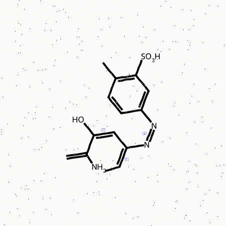 C=C(N)\C(O)=C/C(=C\C)/N=N\c1ccc(C)c(S(=O)(=O)O)c1